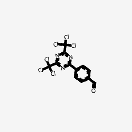 O=[C]c1ccc(-c2nc(C(Cl)(Cl)Cl)nc(C(Cl)(Cl)Cl)n2)cc1